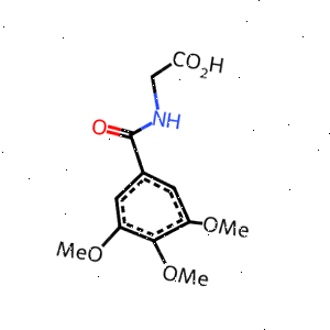 COc1cc(C(=O)NCC(=O)O)cc(OC)c1OC